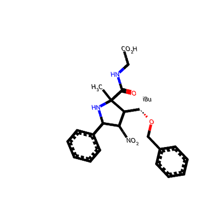 CC[C@H](C)[C@H](OCc1ccccc1)C1C([N+](=O)[O-])C(c2ccccc2)NC1(C)C(=O)NCC(=O)O